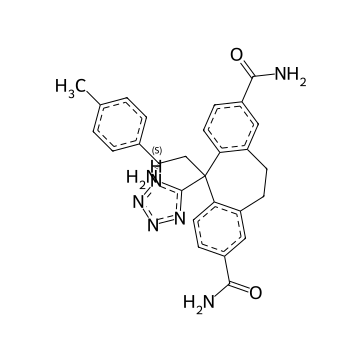 Cc1ccc([C@@H](N)CC2(c3nnn[nH]3)c3ccc(C(N)=O)cc3CCc3cc(C(N)=O)ccc32)cc1